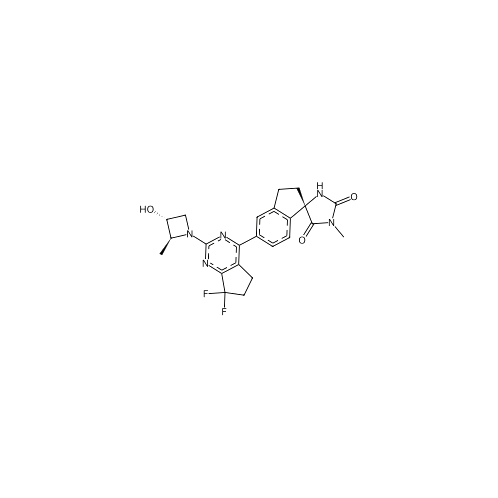 C[C@H]1[C@H](O)CN1c1nc(-c2ccc3c(c2)CC[C@]32NC(=O)N(C)C2=O)c2c(n1)C(F)(F)CC2